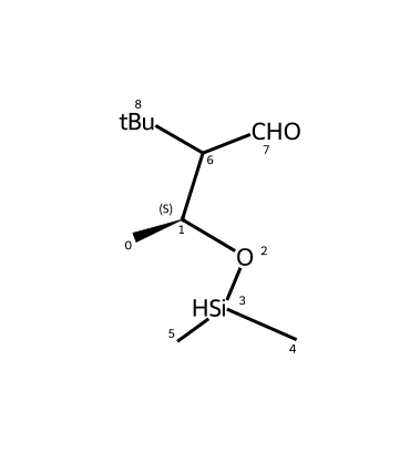 C[C@H](O[SiH](C)C)C(C=O)C(C)(C)C